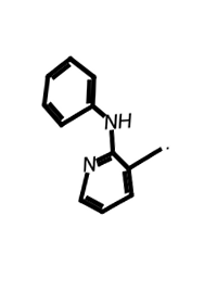 [CH2]c1cccnc1Nc1ccccc1